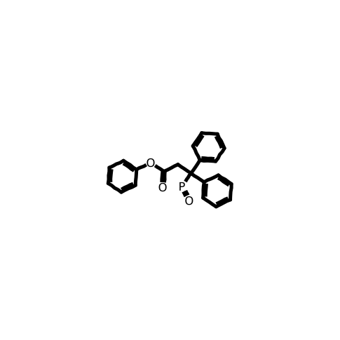 O=PC(CC(=O)Oc1ccccc1)(c1ccccc1)c1ccccc1